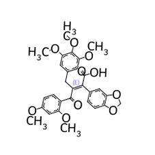 COc1ccc(C(=O)/C(Cc2cc(OC)c(OC)c(OC)c2)=C(/C(=O)O)c2ccc3c(c2)OCO3)c(OC)c1